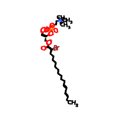 CCCCCCCCCCCCCCCCC(Br)C(=O)OC[C@H](CO)OP(=O)([O-])OCC[N+](C)(C)C